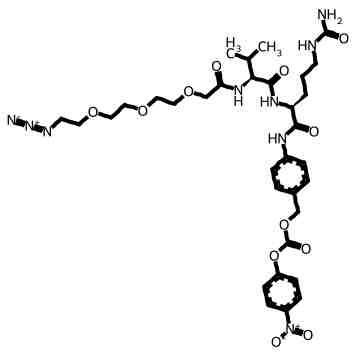 CC(C)[C@H](NC(=O)COCCOCCOCCN=[N+]=[N-])C(=O)N[C@@H](CCCNC(N)=O)C(=O)Nc1ccc(COC(=O)Oc2ccc([N+](=O)[O-])cc2)cc1